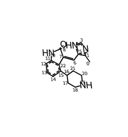 Cc1nc[nH]c1/C=C1\C(=O)Nc2cccc(C3CCNCC3)c21